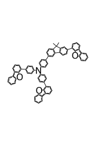 CC1(C)c2ccc(-c3ccc(N(c4ccc(-c5cccc6c5oc5ccccc56)cc4)c4ccc(-c5cccc6c5oc5ccccc56)cc4)cc3)cc2-c2ccc(-c3cccc4c3oc3ccccc34)cc21